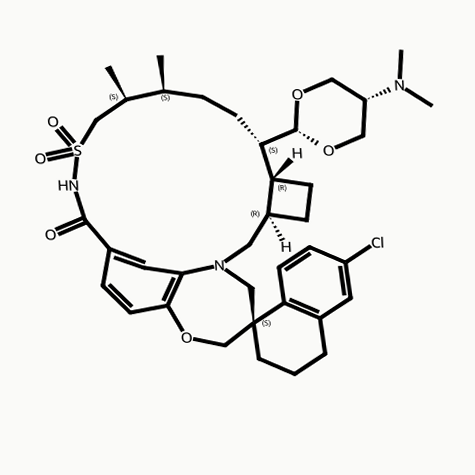 C[C@@H]1CS(=O)(=O)NC(=O)c2ccc3c(c2)N(C[C@@H]2CC[C@H]2[C@@H]([C@H]2OC[C@@H](N(C)C)CO2)CC[C@@H]1C)C[C@@]1(CCCc2cc(Cl)ccc21)CO3